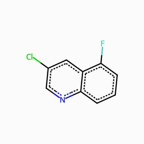 Fc1cccc2ncc(Cl)cc12